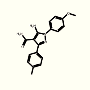 COc1ccc(-n2nc(-c3ccc(C)cc3)c(C(N)=O)c2N)cc1